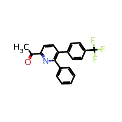 CC(=O)c1ccc(-c2ccc(C(F)(F)F)cc2)c(-c2ccccc2)n1